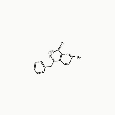 O=c1[nH]nc(Cc2ccccc2)c2ccc(Br)cc12